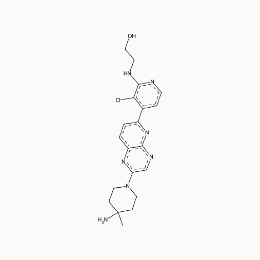 CC1(N)CCN(c2cnc3nc(-c4ccnc(NCCO)c4Cl)ccc3n2)CC1